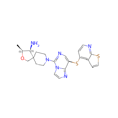 C[C@@H]1OCC2(CCN(c3ncc(Sc4ccnc5sccc45)c4nccn34)CC2)[C@@H]1N